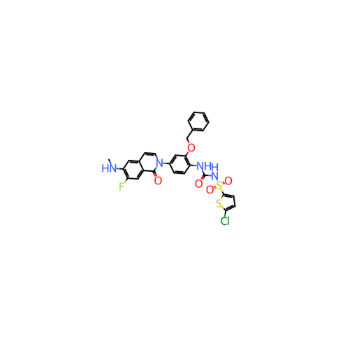 CNc1cc2ccn(-c3ccc(NC(=O)NS(=O)(=O)c4ccc(Cl)s4)c(OCc4ccccc4)c3)c(=O)c2cc1F